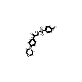 O=C(CNS(=O)(=O)c1ccc(F)cc1)c1ccc(N2CCOCC2)cc1